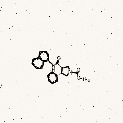 CC(C)(C)OC(=O)N1C[C@H](C(=O)Nc2cccc3ccccc23)[C@@H](c2ccccc2)C1